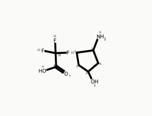 NC1CCC(O)C1.O=C(O)C(F)(F)F